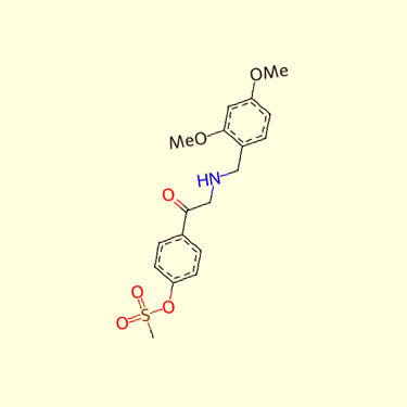 COc1ccc(CNCC(=O)c2ccc(OS(C)(=O)=O)cc2)c(OC)c1